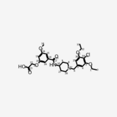 CCOc1cc(CN2CCC(NC(=O)c3cc(OC)cc(OCC(=O)O)c3)CC2)cc(OCC)c1Cl